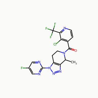 CC1c2nnn(-c3ncc(F)cn3)c2CCN1C(=O)c1ccnc(C(F)(F)F)c1Cl